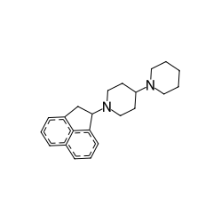 c1cc2c3c(cccc3c1)C(N1CCC(N3CCCCC3)CC1)C2